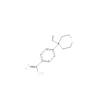 N/C(=N\O)c1ccc(C2(CF)CCOCC2)cc1